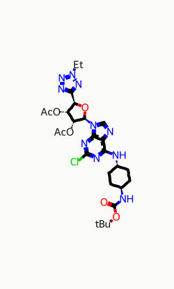 CCn1nnc([C@H]2O[C@@H](n3cnc4c(N[C@H]5CC[C@H](NC(=O)OC(C)(C)C)CC5)nc(Cl)nc43)[C@H](OC(C)=O)[C@@H]2OC(C)=O)n1